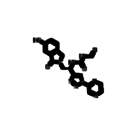 O=CNC(=O)N[C@@H](CN1Cc2ccc(O)cc2C1=O)c1cn(-c2cnccn2)nn1